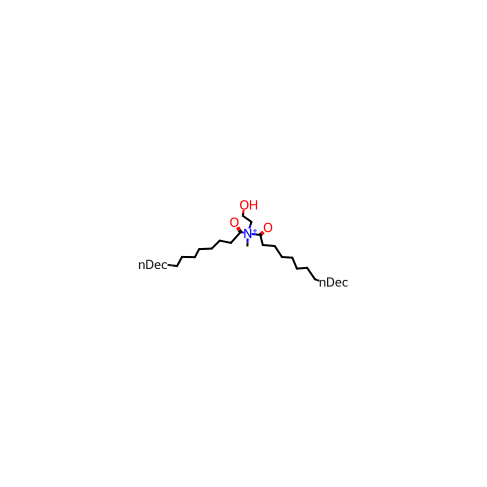 CCCCCCCCCCCCCCCCCC(=O)[N+](C)(CCO)C(=O)CCCCCCCCCCCCCCCCC